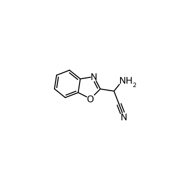 N#CC(N)c1nc2ccccc2o1